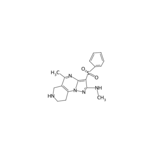 CNc1nn2c3c(c(C)nc2c1S(=O)(=O)c1ccccc1)CNCC3